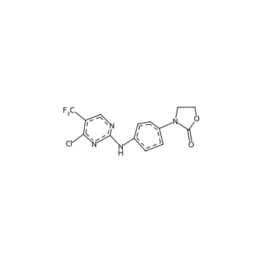 O=C1OCCN1c1ccc(Nc2ncc(C(F)(F)F)c(Cl)n2)cc1